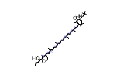 CCCC(O)C(=O)/C(C)=C(/C=C/C(C)=C/C=C/C(C)=C/C=C/C=C(C)/C=C/C=C(C)/C=C/C1=C(C)C(=O)C(NCC(C)(C)C)CC1(C)C)CC